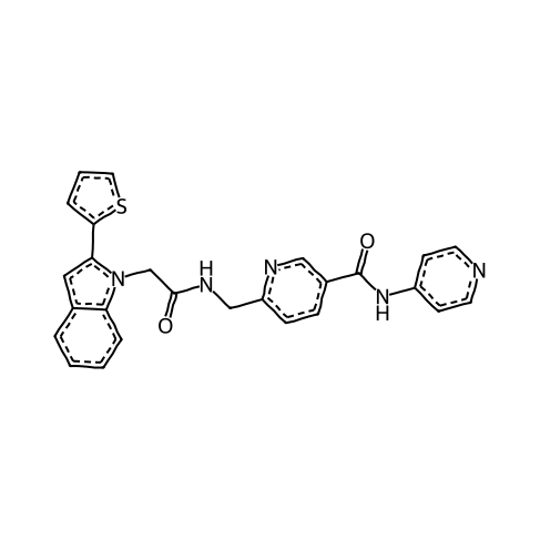 O=C(Cn1c(-c2cccs2)cc2ccccc21)NCc1ccc(C(=O)Nc2ccncc2)cn1